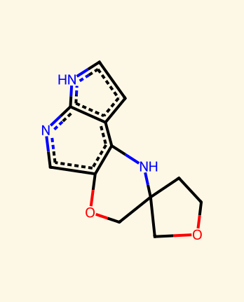 c1cc2c3c(cnc2[nH]1)OCC1(CCOC1)N3